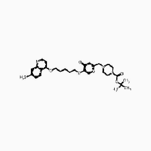 CC(C)(C)OC(=O)N1CCN(Cc2cc(=O)c(OCCCCCOc3ccnc4cc([SiH3])ccc34)co2)CC1